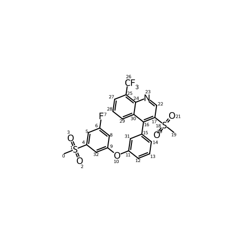 CS(=O)(=O)c1cc(F)cc(Oc2cccc(-c3c(S(C)(=O)=O)cnc4c(C(F)(F)F)cccc34)c2)c1